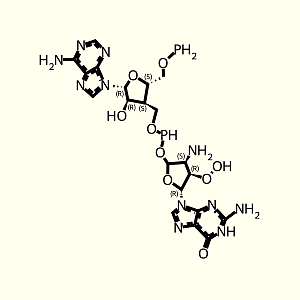 Nc1nc2c(ncn2[C@@H]2OC(OPOC[C@H]3[C@@H](O)[C@H](n4cnc5c(N)ncnc54)O[C@@H]3COP)[C@@H](N)[C@H]2OO)c(=O)[nH]1